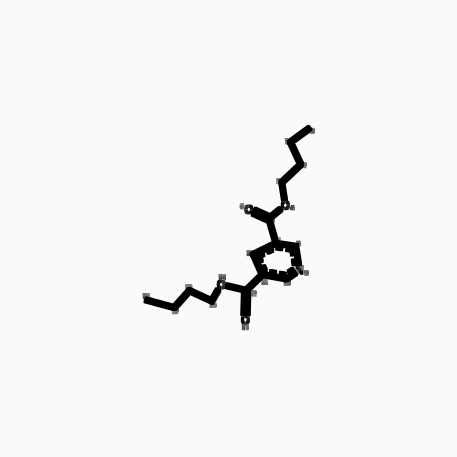 CCCCOC(=O)c1cncc(C(=O)OCCCC)c1